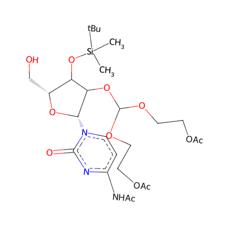 CC(=O)Nc1ccn([C@@H]2O[C@H](CO)C(O[Si](C)(C)C(C)(C)C)C2OC(OCCOC(C)=O)OCCOC(C)=O)c(=O)n1